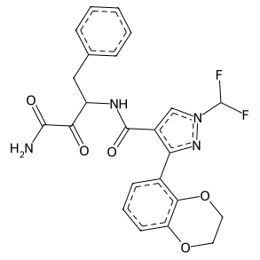 NC(=O)C(=O)C(Cc1ccccc1)NC(=O)c1cn(C(F)F)nc1-c1cccc2c1OCCO2